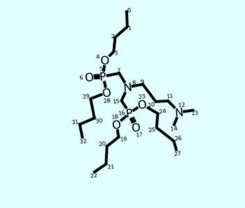 CCCCOP(=O)(CN(CCCN(C)C)CP(=O)(OCCCC)OCCCC)OCCCC